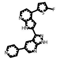 Fc1ccc(-c2ccnc3[nH]c(-c4n[nH]c5ncc(-c6ccncc6)cc45)cc23)s1